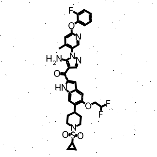 Cc1cc(Oc2ccccc2F)ncc1-n1ncc(C(=O)c2cc3cc(OCC(F)F)c(C4CCN(S(=O)(=O)C5CC5)CC4)cc3[nH]2)c1N